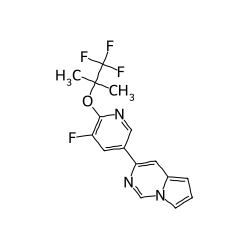 CC(C)(Oc1ncc(-c2cc3cccn3cn2)cc1F)C(F)(F)F